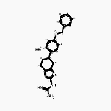 Br.N=C(N)Nc1nc2c(s1)CC(c1ccc(OCc3ccccc3)cc1)CC2